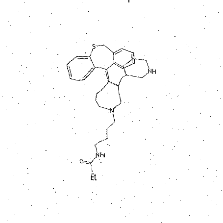 CCC(=O)NCCCCN1CCC(=C2c3ccccc3CSc3ccccc32)C(C2CCCNC2)C1